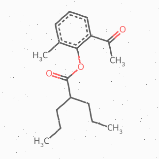 CCCC(CCC)C(=O)Oc1c(C)cccc1C(C)=O